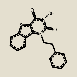 O=c1c2sc3ccccc3c2n(CCc2ccccc2)c(=O)n1O